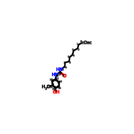 CCCCCCCCCCCCCCCCCCNC(=O)Nc1ccc(O)c(C)c1